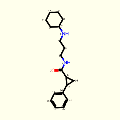 O=C(NCCCNC1CCCCC1)C1CC1c1ccccc1